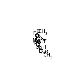 COc1cc(OCC2CC2)c(-c2ncnc3c(C(=O)N[C@H]4CCCN(C(C)=O)C4)c[nH]c23)cc1F